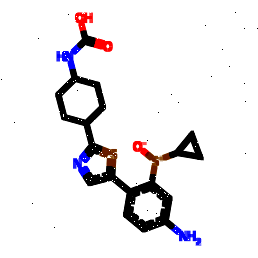 Nc1ccc(-c2cnc(C3CCC(NC(=O)O)CC3)s2)c([S+]([O-])C2CC2)c1